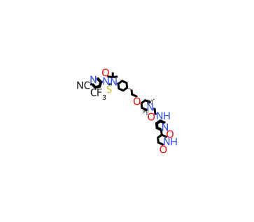 C[C@@H]1CC(OCCC[C@H]2CC[C@H](N3C(=S)N(c4cnc(C#N)c(C(F)(F)F)c4)C(=O)C3(C)C)CC2)C[C@H](C)N1CC(=O)Nc1ccc(C2CCC(=O)NC2=O)nc1